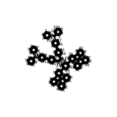 c1ccc(N(c2ccccc2)c2ccc(-c3ccc(-c4nc5c(-c6ccc7c(c6)C6(c8ccccc8-c8ccccc86)c6ccccc6-7)ccc(-c6ccc7c(c6)C6(c8ccccc8-c8ccccc86)c6ccccc6-7)c5nc4-c4ccc(-c5ccc(N(c6ccccc6)c6ccccc6)cc5)cc4)cc3)cc2)cc1